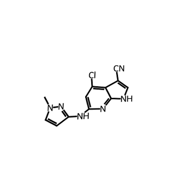 Cn1ccc(Nc2cc(Cl)c3c(C#N)c[nH]c3n2)n1